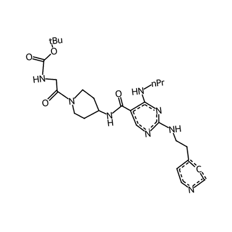 CCCNc1nc(NCCc2ccncc2)ncc1C(=O)NC1CCN(C(=O)CNC(=O)OC(C)(C)C)CC1